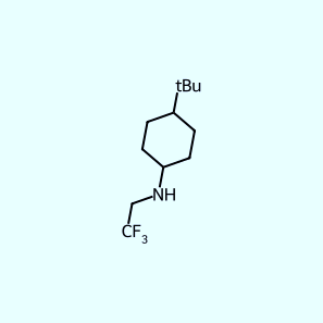 CC(C)(C)C1CCC(NCC(F)(F)F)CC1